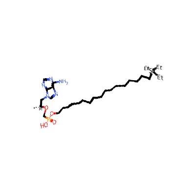 CC[Si](CC)(CC)CCCCCCCCCCCCCCCCCOP(=O)(O)CO[C@H](C)Cn1cnc2c(N)ncnc21